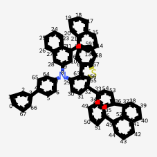 c1ccc(-c2ccc(N(c3cc(-c4cccc5ccccc45)c4ccccc4c3)c3ccc(-c4ccc(-c5cccc6cccc(-c7ccccc7)c56)cc4)c4sc5ccccc5c34)cc2)cc1